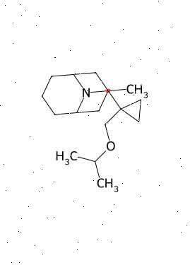 CC1CC2CCCC(C1)N2CC1(COC(C)C)CC1